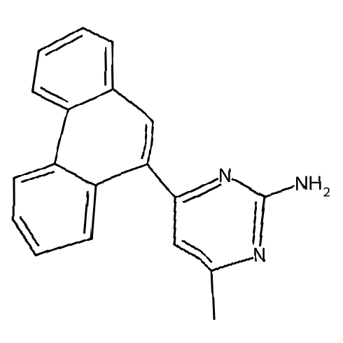 Cc1cc(-c2cc3ccccc3c3ccccc23)nc(N)n1